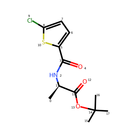 C[C@@H](NC(=O)c1ccc(Cl)s1)C(=O)OC(C)(C)C